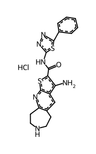 Cl.Nc1c(C(=O)Nc2nnc(-c3ccccc3)s2)sc2nc3c(cc12)CCNCC3